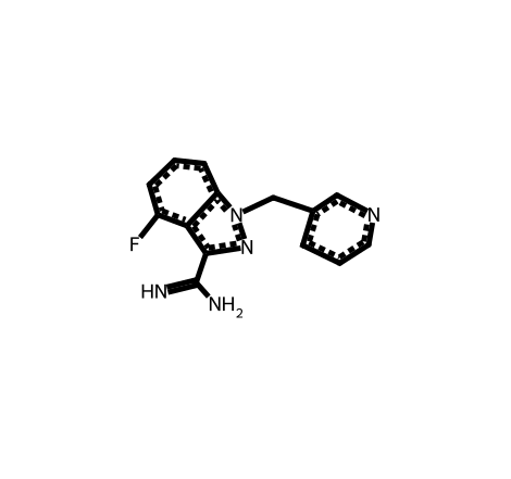 N=C(N)c1nn(Cc2cccnc2)c2cccc(F)c12